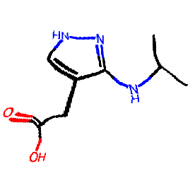 CC(C)Nc1n[nH]cc1CC(=O)O